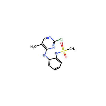 Cc1cnc(Cl)nc1Nc1ccccc1NS(C)(=O)=O